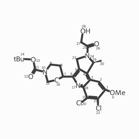 COc1cc2c3c(c(C4CCN(C(=O)OC(C)(C)C)CC4)nc2c(Cl)c1Cl)CN(C(=O)CO)[C@H]3C